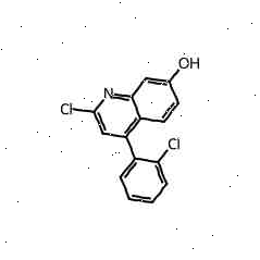 Oc1ccc2c(-c3ccccc3Cl)cc(Cl)nc2c1